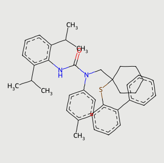 Cc1ccc(N(CC2(Sc3ccccc3-c3ccccc3)CCCCC2)C(=O)Nc2c(C(C)C)cccc2C(C)C)cc1